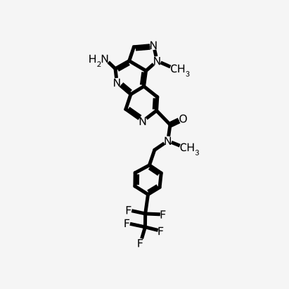 CN(Cc1ccc(C(F)(F)C(F)(F)F)cc1)C(=O)c1cc2c(cn1)nc(N)c1cnn(C)c12